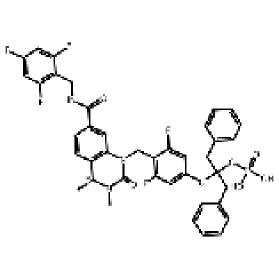 C[C@H]1c2ccc(C(=O)NCc3c(F)cc(F)cc3F)cc2N(Cc2c(F)cc(OC(Cc3ccccc3)(Cc3ccccc3)OP(=O)(O)O)cc2F)C(=O)N1C